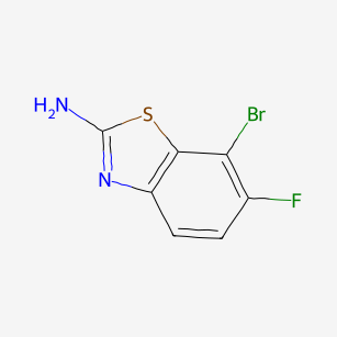 Nc1nc2ccc(F)c(Br)c2s1